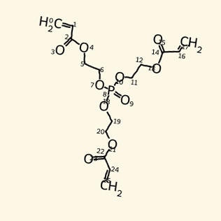 C=CC(=O)OCCOP(=O)(OCCOC(=O)C=C)OCCOC(=O)C=C